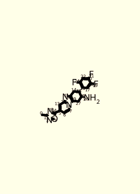 Cc1noc(-c2ccn3c4c(nc3c2)C[C@H](c2cc(F)c(F)cc2F)[C@@H](N)C4)n1